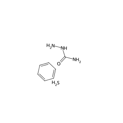 NNC(N)=O.S.c1ccccc1